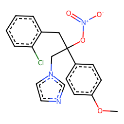 COc1ccc(C(Cc2ccccc2Cl)(Cn2ccnc2)O[N+](=O)[O-])cc1